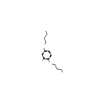 [O]c1cc(OCCCCl)ccc1OCCCCl